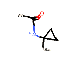 CCC(=O)NC1(C(C)(C)C)CC1